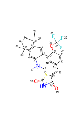 CN(C)c1cc2c(cc1-c1cc(C=C3SC(=O)NC3=O)ccc1OC(F)(F)F)C(C)(C)CCC2(C)C